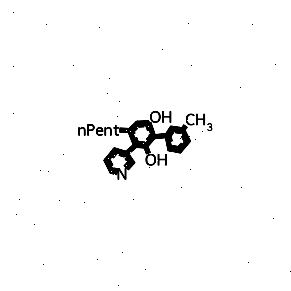 CCCCCc1cc(O)c(-c2cccc(C)c2)c(O)c1-c1cccnc1